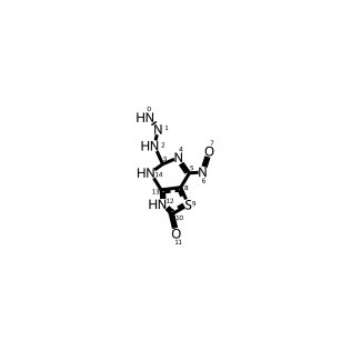 N=NNC1N=C(N=O)c2sc(=O)[nH]c2N1